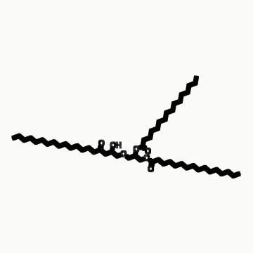 CCCCCCCCCCCCCCCC(=O)CC(O)COCC(COC(=O)CCCCCCCCCCCCCCC)OC(=O)CCCCCCCCCCCCCCC